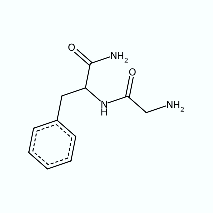 NCC(=O)NC(Cc1ccccc1)C(N)=O